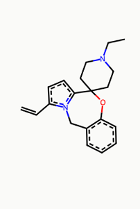 C=Cc1ccc2n1Cc1ccccc1OC21CCN(CC)CC1